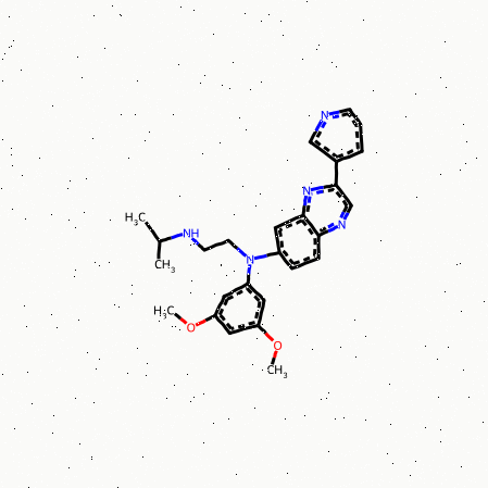 COc1cc(OC)cc(N(CCNC(C)C)c2ccc3ncc(-c4cccnc4)nc3c2)c1